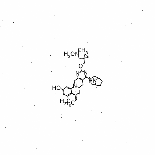 C/C=C(/I)c1c(C)cc(O)cc1N1CCc2c(nc(OCC3(CN(C)C)CC3)nc2N2CC3CCC(C2)N3)C1